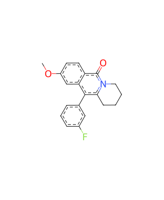 COc1ccc2c(=O)n3c(c(-c4cccc(F)c4)c2c1)CCCC3